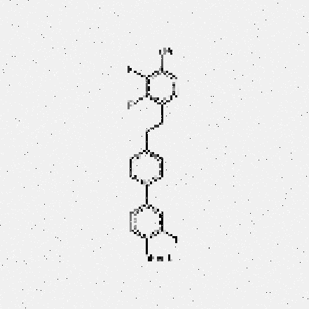 CCCCCc1ccc(-c2ccc(CCc3ccc(CCC)c(F)c3F)cc2)cc1F